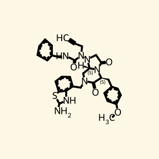 C#CCN(C(=O)NCc1ccccc1)N1CC(=O)N2[C@@H](Cc3ccc(OC)cc3)C(=O)N(Cc3cccc4c3NC(N)S4)C[C@@H]21